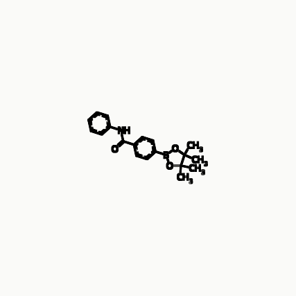 CC1(C)OB(c2ccc(C(=O)Nc3ccccc3)cc2)OC1(C)C